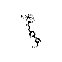 CC(C)(C)OC(=O)NCCc1cnc(-n2cnc(CO)c2)nc1